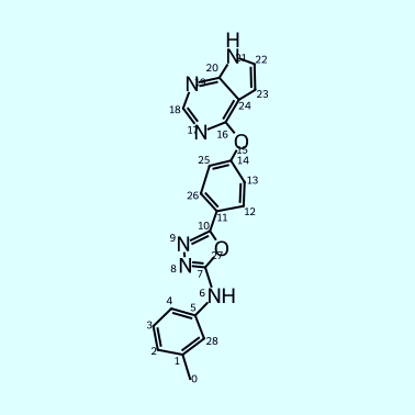 Cc1cccc(Nc2nnc(-c3ccc(Oc4ncnc5[nH]ccc45)cc3)o2)c1